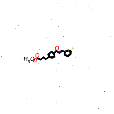 COC(=O)CCCc1ccc(C(=O)/C=C/c2cccc(F)c2)cc1